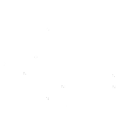 Cn1ncc2cc(C(=O)Nc3cc4c(cn3)cc(C=O)n4COCC[Si](C)(C)C)ccc21